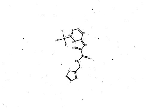 O=C(NCc1cccs1)c1cc2cccc(C(F)(F)F)n2n1